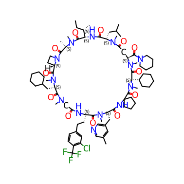 CC[C@H](C)[C@@H]1NC(=O)[C@H](CC(C)C)N(C)C(=O)C[C@@H](C(=O)N2CCCCC2)N(C)C(=O)[C@H](C2CCCCC2)N(C)C(=O)C2(CCCC2)NC(=O)[C@H](Cc2cncc(C)c2)N(C)C(=O)[C@H](CCc2ccc(C(F)(F)F)c(Cl)c2)NC(=O)CN(C)C(=O)[C@H](CC2CCCCC2)N(C)C(=O)[C@@H]2CCN2C(=O)[C@H](C)N(C)C1=O